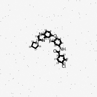 O=C(Nc1ccc(Oc2ccc3ncc(N4CCCC4)nc3c2)c(F)c1)c1ccc(Cl)c(F)c1